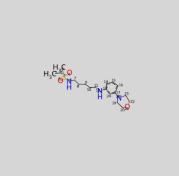 CC(C)S(=O)(=O)NCCCCCNc1cccc(N2CCOCC2)c1